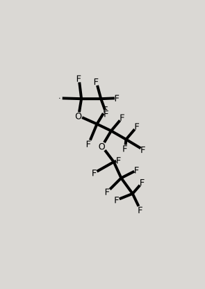 [CH2]C(F)(OC(F)(F)C(F)(OC(F)(F)C(F)(F)C(F)(F)F)C(F)(F)F)C(F)(F)F